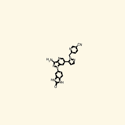 N#Cc1ccc(Cn2nccc2-c2cnc3c(N)nn(-c4ccc5[nH]c(=O)[nH]c5c4)c3c2)nc1